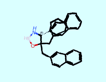 B1N[C@H](C2CCCCC2)C(Cc2ccc3ccccc3c2)(Cc2ccc3ccccc3c2)O1